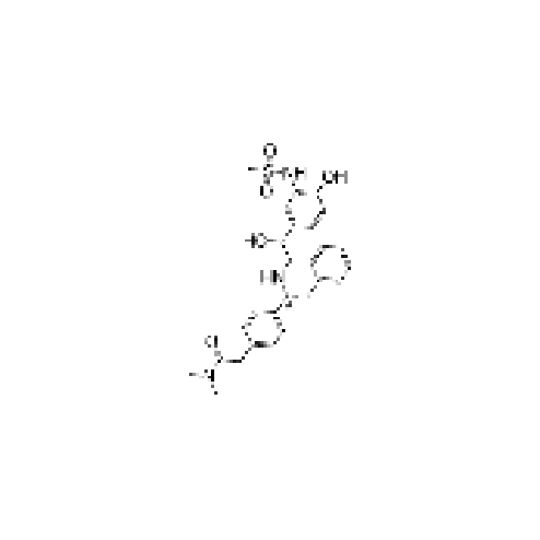 CN(C)C(=O)Cc1ccc([C@@H](Cc2ccccc2)NCC(O)c2ccc(O)c(NS(C)(=O)=O)c2)cc1